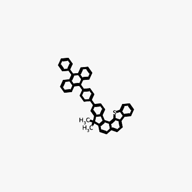 CC1(C)c2cc(C3=CC=C(c4c5ccccc5c(-c5ccccc5)c5ccccc45)CC3)ccc2-c2c1ccc1ccc3c4ccccc4sc3c21